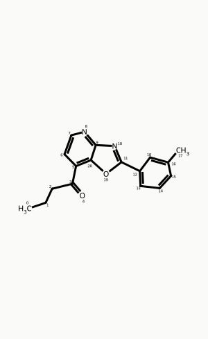 CCCC(=O)c1ccnc2nc(-c3cccc(C)c3)oc12